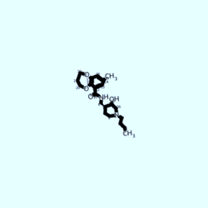 CCCCN1CC[C@@H](CNC(=O)c2cc(C)cc3c2OCCCO3)C(O)C1